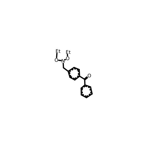 CCON(Cc1ccc(C(=O)c2ccccc2)cc1)OCC